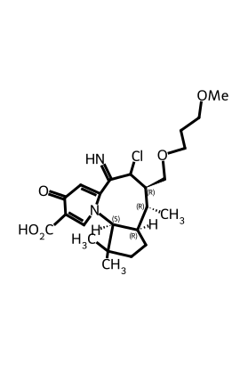 COCCCOC[C@@H]1C(Cl)C(=N)c2cc(=O)c(C(=O)O)cn2[C@H]2[C@H](CCC2(C)C)[C@H]1C